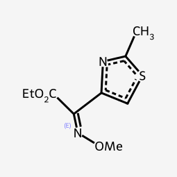 CCOC(=O)/C(=N/OC)c1csc(C)n1